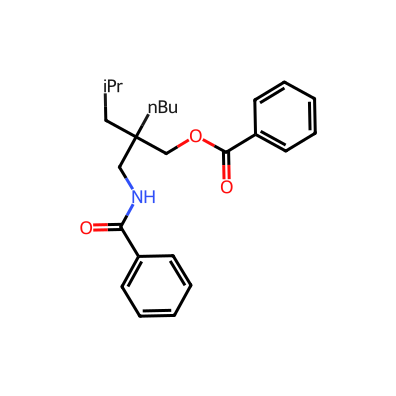 CCCCC(CNC(=O)c1ccccc1)(COC(=O)c1ccccc1)CC(C)C